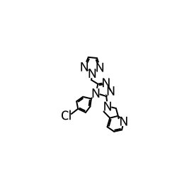 Clc1ccc(-n2c(Cn3nccn3)nnc2N2Cc3cccnc3C2)cc1